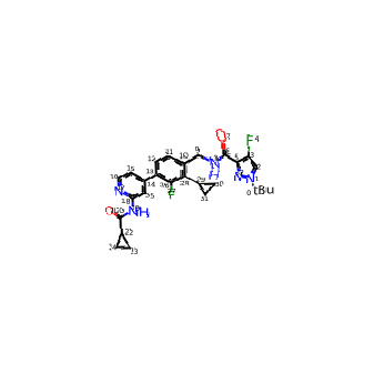 CC(C)(C)n1cc(F)c(C(=O)NCc2ccc(-c3ccnc(NC(=O)C4CC4)c3)c(F)c2C2CC2)n1